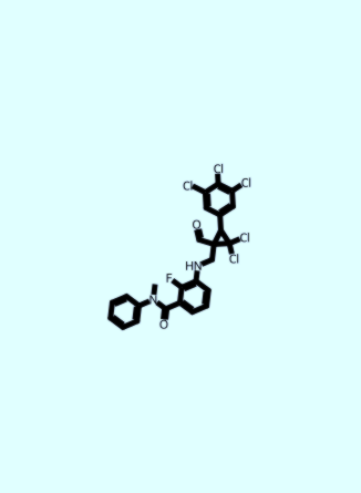 CN(C(=O)c1cccc(NCC2(C=O)C(c3cc(Cl)c(Cl)c(Cl)c3)C2(Cl)Cl)c1F)c1ccccc1